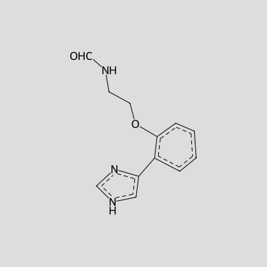 O=CNCCOc1ccccc1-c1c[nH]cn1